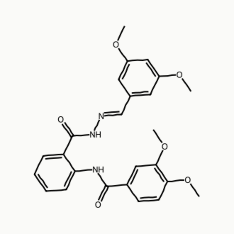 COc1cc(/C=N/NC(=O)c2ccccc2NC(=O)c2ccc(OC)c(OC)c2)cc(OC)c1